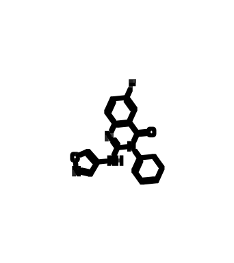 O=c1c2cc(F)ccc2nc(Nc2cnoc2)n1C1=CC=CCC1